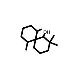 CC1CCCC(C)C12CCCC(C)(C)C2O